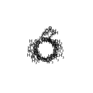 CC[C@@H]1NC(=O)[C@H]([C@H](O)[C@H](C)CCCCCCNCc2ccc(C(=O)O)cc2)N(C)C(=O)[C@H](C(C)C)N(C)C(=O)[C@H](CC(C)C)N(C)C(=O)[C@H](CC(C)C)N(C)C(=O)[C@H](C)NC(=O)[C@@H](C)NC(=O)[C@@H](CC(C)C)N(C)C(=O)[C@@H](C(C)C)NC(=O)[C@H](CC(C)C)N(C)C(=O)[C@@H](CSCCCCO)N(C)C1=O